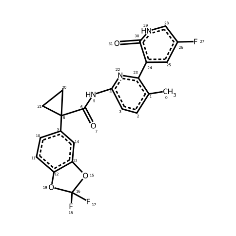 Cc1ccc(NC(=O)C2(c3ccc4c(c3)OC(F)(F)O4)CC2)nc1-c1cc(F)c[nH]c1=O